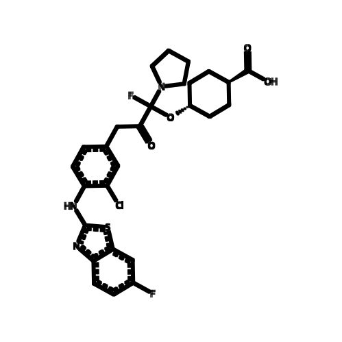 O=C(Cc1ccc(Nc2nc3ccc(F)cc3s2)c(Cl)c1)C(F)(O[C@H]1CC[C@H](C(=O)O)CC1)N1CCCC1